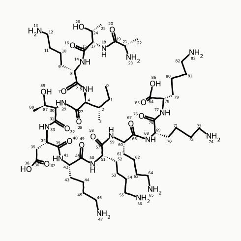 CC[C@H](C)[C@H](NC(=O)[C@H](CCCCN)NC(=O)[C@@H](NC(=O)[C@H](C)N)[C@@H](C)O)C(=O)N[C@H](C(=O)N[C@@H](CC(=O)O)C(=O)N[C@@H](CCCCN)C(=O)N[C@@H](CCCCN)C(=O)N[C@@H](CCCCN)C(=O)N[C@@H](CCCCN)C(=O)N[C@@H](CCCCN)C(=O)O)[C@@H](C)O